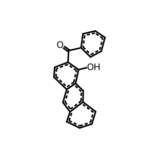 O=C(c1ccccc1)c1ccc2cc3ccccc3cc2c1O